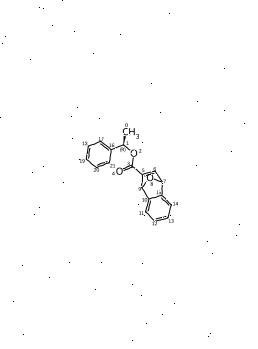 C[C@@H](OC(=O)C1=CC2OC1c1ccccc12)c1ccccc1